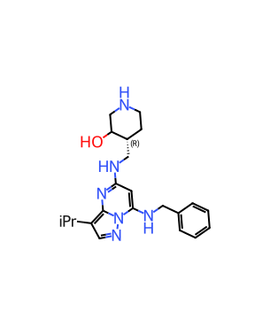 CC(C)c1cnn2c(NCc3ccccc3)cc(NC[C@H]3CCNCC3O)nc12